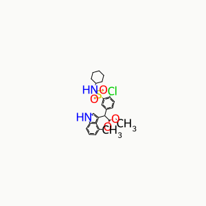 COC(=O)C(c1ccc(Cl)c(S(=O)(=O)NC2CCCCC2)c1)c1c[nH]c2cccc(C)c12